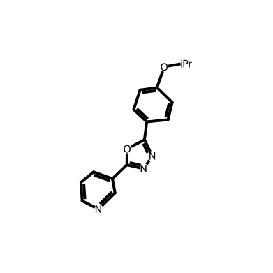 CC(C)Oc1ccc(-c2nnc(-c3cccnc3)o2)cc1